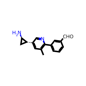 Cc1cc([C@@H]2C[C@H]2N)cnc1-c1cccc(C=O)c1